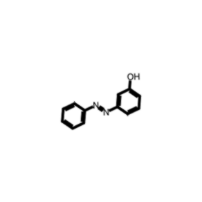 Oc1cc[c]c(/N=N/c2[c]cccc2)c1